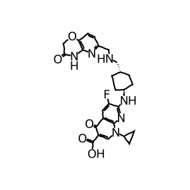 O=C1COc2ccc(CNC[C@H]3CC[C@H](Nc4nc5c(cc4F)c(=O)c(C(=O)O)cn5C4CC4)CC3)nc2N1